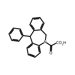 O=C(O)C(=O)N1Cc2ccccc2C(c2ccccc2)c2ccccc21